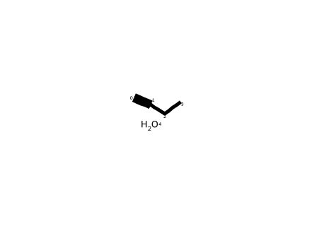 C#CCC.O